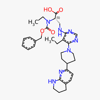 CCc1c(NC[C@@H](C(=O)O)N(CC)C(=O)OCc2ccccc2)ncnc1N1CCC(c2ccc3c(n2)NCCC3)CC1